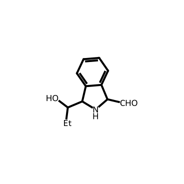 CCC(O)C1NC(C=O)c2ccccc21